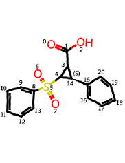 O=C(O)C1C(S(=O)(=O)c2ccccc2)[C@@H]1c1ccccc1